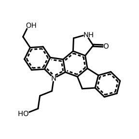 O=C1NCc2c1c1c(c3c2c2cc(CO)ccc2n3CCCO)Cc2ccccc2-1